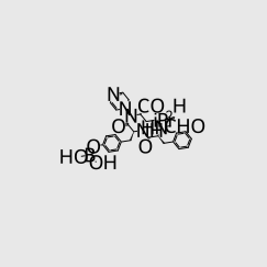 CC(C)C[C@@H](C(=O)O)N(C(=O)[C@H](Cc1ccc(OB(O)O)cc1)NC(=O)[C@H](Cc1ccccc1)NC=O)N1C=CN=CC1